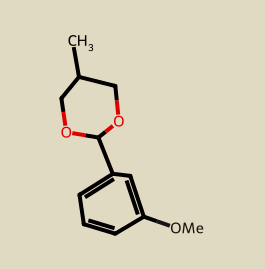 COc1cccc(C2OCC(C)CO2)c1